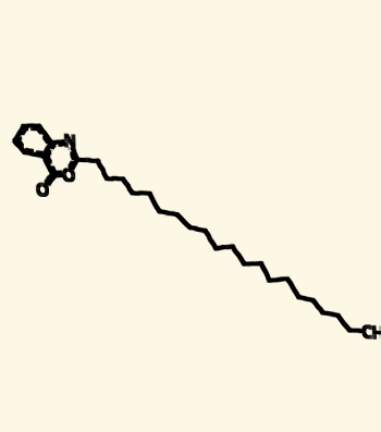 CCCCCCCCCCCCCCCCCCCCCc1nc2ccccc2c(=O)o1